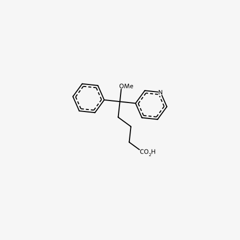 COC(CCCC(=O)O)(c1ccccc1)c1cccnc1